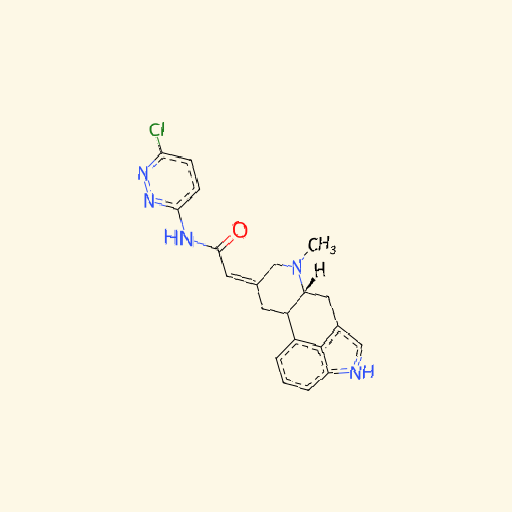 CN1C/C(=C\C(=O)Nc2ccc(Cl)nn2)CC2c3cccc4[nH]cc(c34)C[C@H]21